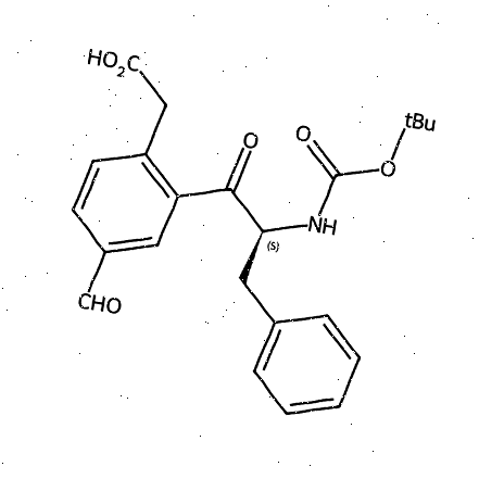 CC(C)(C)OC(=O)N[C@@H](Cc1ccccc1)C(=O)c1cc(C=O)ccc1CC(=O)O